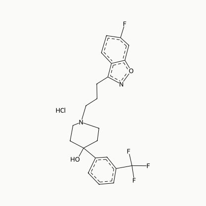 Cl.OC1(c2cccc(C(F)(F)F)c2)CCN(CCCc2noc3cc(F)ccc23)CC1